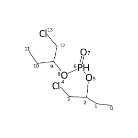 CCC(CCl)O[PH](=O)OC(CC)CCl